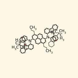 CCCc1cc(N(c2cccc3c2CCCC3)c2cccc3c4ccccc4n(-c4ccccc4C(C)(C)C)c23)c2ccc3c(CCC)cc(N(c4cccc5c4CCCC5)c4cccc5c6ccccc6n(-c6ccccc6C(C)(C)C)c45)c4ccc1c2c34